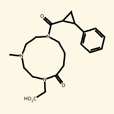 CN1CCN(CC(=O)O)C(=O)CCCN(C(=O)C2CC2c2ccccc2)CC1